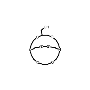 OCC1COCCN2CCOCCOCCN(CCOCCOCC2)CCO1